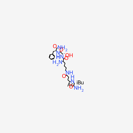 CC[C@H](C)[C@H](NC(CCC(=O)NCCCCC(N)C(=O)N[C@@H](CO)C(=O)N[C@@H](Cc1ccccc1)C(N)=O)C(C)=O)C(N)=O